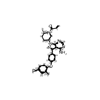 C=CC(=O)N1C[C@@H](n2nc(-c3ccc(Oc4ccc(F)cc4F)cc3)c3c(N)ncnc32)CC[C@H]1C